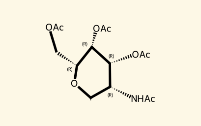 CC(=O)N[C@@H]1[CH]O[C@H](COC(C)=O)[C@H](OC(C)=O)[C@@H]1OC(C)=O